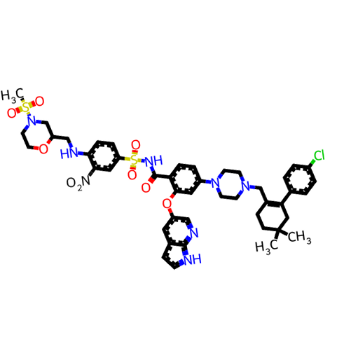 CC1(C)CCC(CN2CCN(c3ccc(C(=O)NS(=O)(=O)c4ccc(NCC5CN(S(C)(=O)=O)CCO5)c([N+](=O)[O-])c4)c(Oc4cnc5[nH]ccc5c4)c3)CC2)=C(c2ccc(Cl)cc2)C1